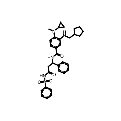 CN(c1ccc(C(=O)NC(CC(=O)NS(=O)(=O)c2ccccc2)c2ccccc2)cc1NCC1CCCC1)C1CC1